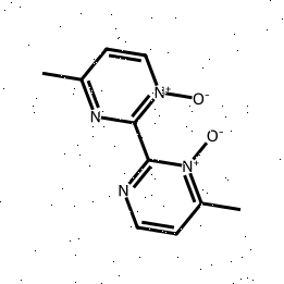 Cc1cc[n+]([O-])c(-c2nccc(C)[n+]2[O-])n1